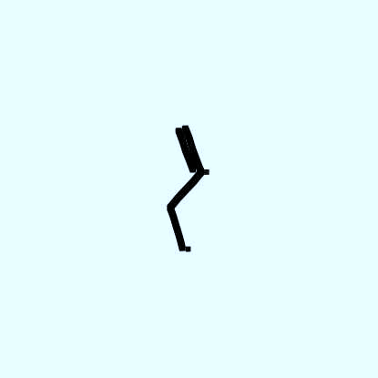 [CH2]C[C]=C